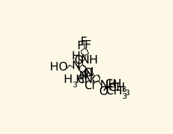 Cn1c(Nc2c(Cl)ccc(CNC(=O)C(C)(C)C)c2Cl)nc2cc(C(=O)NC3CCC(C(F)(F)F)CC3)c(NCCCO)cc21